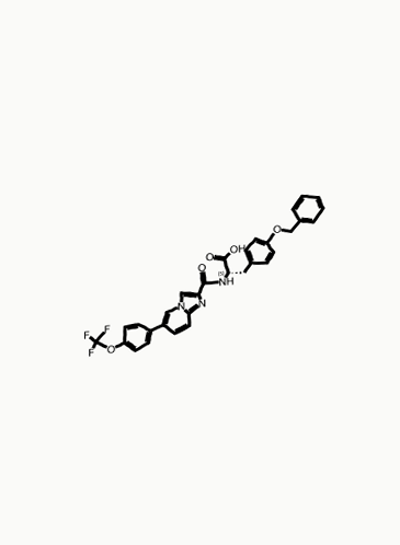 O=C(N[C@@H](Cc1ccc(OCc2ccccc2)cc1)C(=O)O)c1cn2cc(-c3ccc(OC(F)(F)F)cc3)ccc2n1